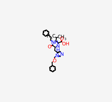 CC(C)CC(NC(Cc1cncn1COCc1ccccc1)C(=O)NCCc1ccccc1)C(=O)O